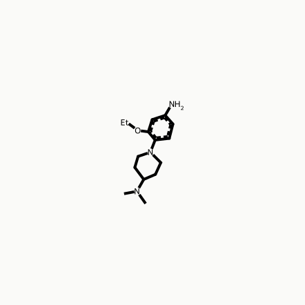 CCOc1cc(N)ccc1N1CCC(N(C)C)CC1